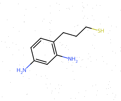 Nc1ccc(CCCS)c(N)c1